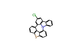 Clc1cc2c3cccc4sc5cccc(c5c43)n3c4ccccc4c(c1)c23